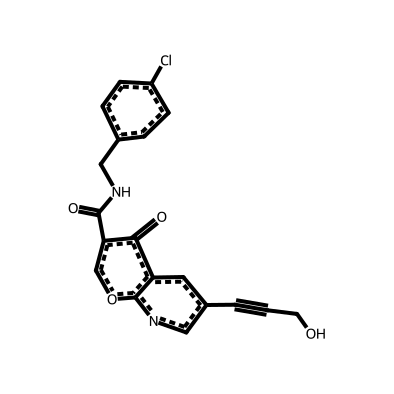 O=C(NCc1ccc(Cl)cc1)c1coc2ncc(C#CCO)cc2c1=O